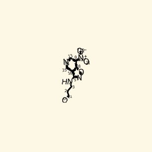 O=[C]CCNc1noc2c([N+](=O)[O-])cncc12